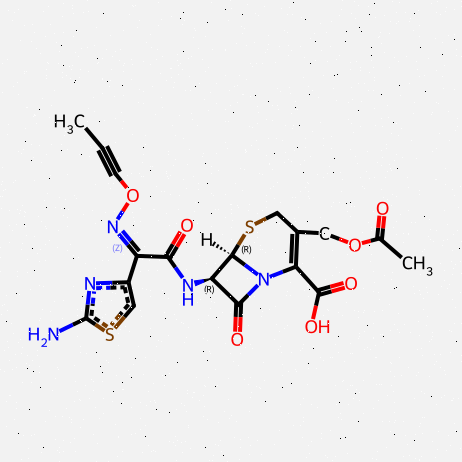 CC#CO/N=C(\C(=O)N[C@@H]1C(=O)N2C(C(=O)O)=C(COC(C)=O)CS[C@H]12)c1csc(N)n1